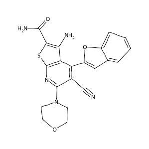 N#Cc1c(N2CCOCC2)nc2sc(C(N)=O)c(N)c2c1-c1cc2ccccc2o1